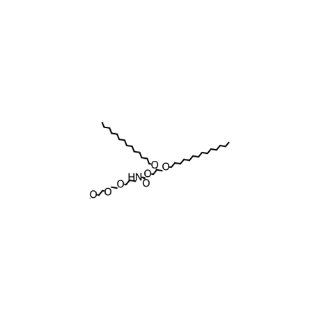 CCCCCCCCCCCCCCOCC(COC(=O)NCCCOCCOCCOC)OCCCCCCCCCCCCCC